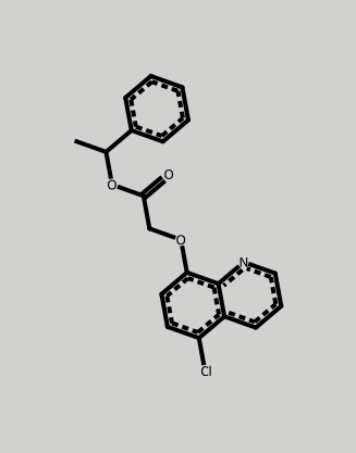 CC(OC(=O)COc1ccc(Cl)c2cccnc12)c1ccccc1